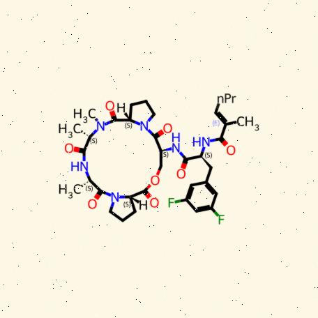 CCC/C=C(\C)C(=O)N[C@@H](Cc1cc(F)cc(F)c1)C(=O)N[C@H]1COC(=O)[C@@H]2CCCN2C(=O)[C@H](C)NC(=O)[C@H](C)N(C)C(=O)[C@@H]2CCCN2C1=O